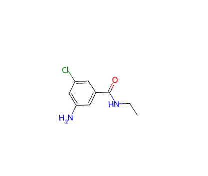 CCNC(=O)c1cc(N)cc(Cl)c1